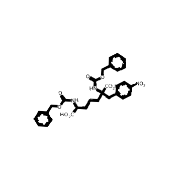 O=C(NC(CCCC(Cc1ccc([N+](=O)[O-])cc1)(NC(=O)OCc1ccccc1)C(=O)O)C(=O)O)OCc1ccccc1